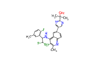 Cc1ccc(F)c(C(Nc2c(Cl)c(C)nc3ccc(-c4cnc(C(C)(C)O)nc4)cc23)C(F)F)c1